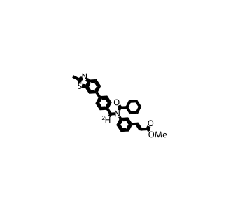 [2H]C(c1ccc(-c2ccc3nc(C)sc3c2)cc1)N(C(=O)C1CCCCC1)c1cccc(/C=C/C(=O)OC)c1